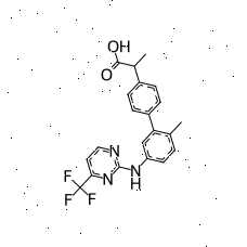 Cc1ccc(Nc2nccc(C(F)(F)F)n2)cc1-c1ccc(C(C)C(=O)O)cc1